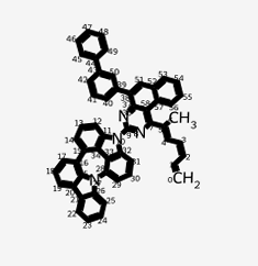 C=C/C=C\C=C(/C)c1nc(-n2c3cccc4c5cccc6c7ccccc7n(c7cccc2c7c43)c56)nc2c(-c3cccc(-c4ccccc4)c3)cc3ccccc3c12